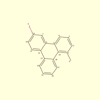 Cc1cccc2c3cc(I)ccc3c3ccccc3c12